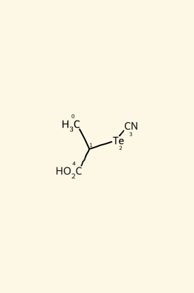 CC([Te]C#N)C(=O)O